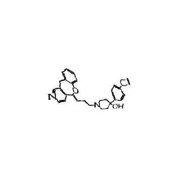 OC1(c2ccc(Cl)cc2)CCN(CCC=C2Oc3ccccc3Cc3cnccc32)CC1